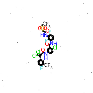 O=C(CS(=O)(=O)CC(F)(F)F)Nc1c(F)ccc(NC(=O)c2cc(NC(=O)[C@H]3[C@H](c4ccc(F)c(C(F)(F)F)c4)C3(Cl)Cl)ccc2Cl)c1F